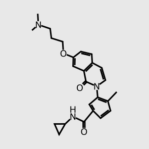 Cc1ccc(C(=O)NC2CC2)cc1-n1ccc2ccc(OCCCN(C)C)cc2c1=O